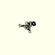 COCCS(=O)(=O)N(COCC[Si](C)(C)C)c1nc2ccccc2nc1Cl